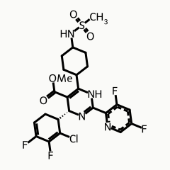 COC(=O)C1=C(C2CCC(NS(C)(=O)=O)CC2)NC(c2ncc(F)cc2F)=N[C@@H]1C1CC=C(F)C(F)=C1Cl